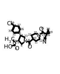 CN(C(=O)O)[C@@H]1CN(C(=O)C2CCN(C(=O)C3(C#N)CC3)CC2)C[C@H]1c1ccc(Cl)cc1